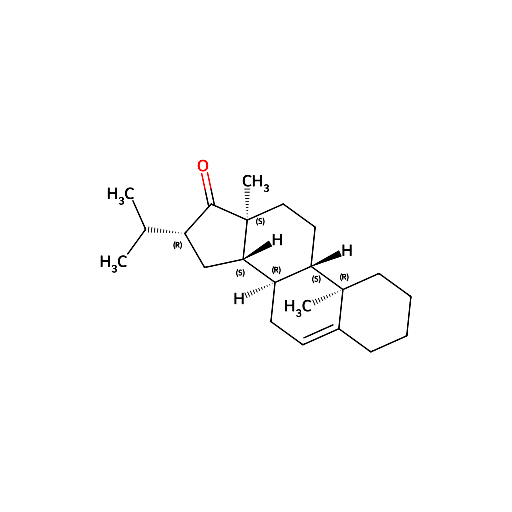 CC(C)[C@H]1C[C@H]2[C@@H]3CC=C4CCCC[C@]4(C)[C@H]3CC[C@]2(C)C1=O